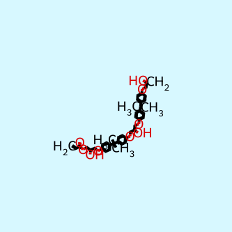 [CH2]C(O)COc1ccc(C(C)(C)c2ccc(OCC(O)COc3ccc(C(C)(C)c4ccc(OCC(O)COC(=O)C=C)cc4)cc3)cc2)cc1